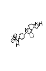 CS(=O)(=O)Nc1ccc(-c2nc3ccc4[nH]ccc4c3c3c2CCC3)cc1